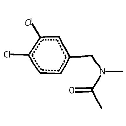 CC(=O)N(C)Cc1ccc(Cl)c(Cl)c1